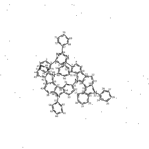 c1ccc(-c2cc(-c3ccc4c5ccc6c(c7ccccc7n6-c6ccccc6)c5n(-c5ccc6c(c5)c5c(ccc7c8ccccc8n(-c8ccccc8)c75)n6-c5ccccc5)c4c3)nc(-c3ccccc3)n2)cc1